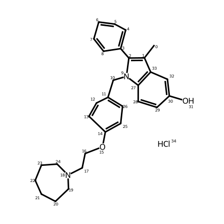 Cc1c(-c2ccccc2)n(Cc2ccc(OCCN3CCCCCC3)cc2)c2ccc(O)cc12.Cl